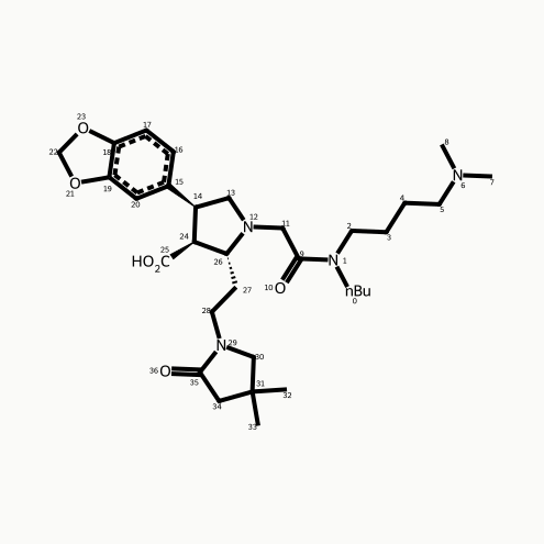 CCCCN(CCCCN(C)C)C(=O)CN1C[C@H](c2ccc3c(c2)OCO3)[C@H](C(=O)O)[C@H]1CCN1CC(C)(C)CC1=O